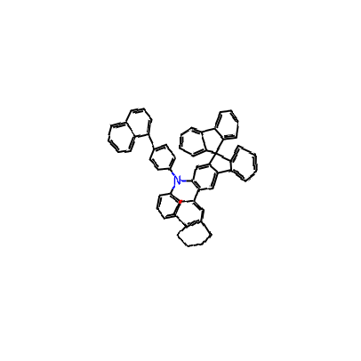 c1ccc(N(c2ccc(-c3cccc4ccccc34)cc2)c2cc3c(cc2-c2ccc4c(c2)CCCC4)-c2ccccc2C32c3ccccc3-c3ccccc32)cc1